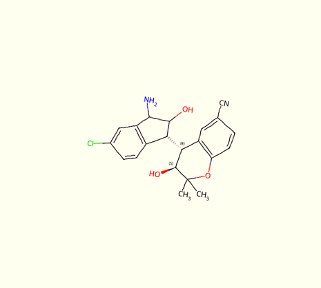 CC1(C)Oc2ccc(C#N)cc2[C@@H](C2c3ccc(Cl)cc3C(N)C2O)[C@@H]1O